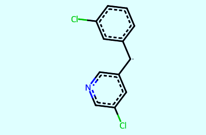 Clc1cccc([CH]c2cncc(Cl)c2)c1